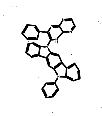 C1=NC2=NC(c3ccccc3)=C(n3c4ccccc4c4cc5c(cc43)c3ccccc3n5-c3ccccc3)NC2N=C1